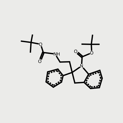 CC(C)(C)OC(=O)NCCC1(c2ccccc2)Cc2ccccc2N1C(=O)OC(C)(C)C